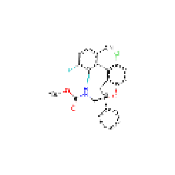 CCCCOC(=O)NC[C@@]1(c2ccccc2)Cc2c(ccc(Cl)c2-c2c(C#N)ccc(F)c2F)O1